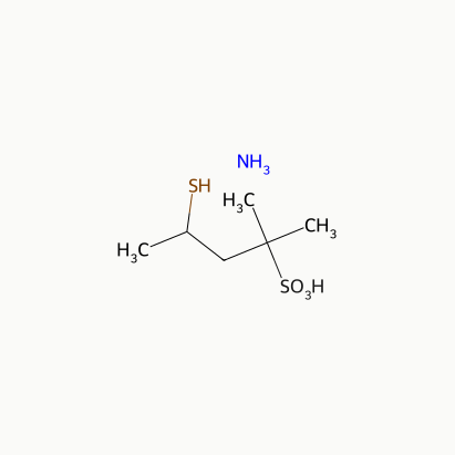 CC(S)CC(C)(C)S(=O)(=O)O.N